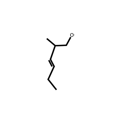 CCC=CC(C)C[O]